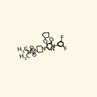 CN(C)S(=O)(=O)N1CCN(c2cnn(-c3cc(F)cc(F)c3)c(=O)c2OC2CCCC2)CC1